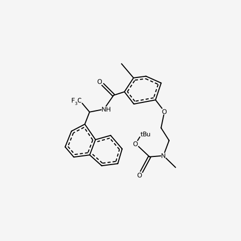 Cc1ccc(OCCN(C)C(=O)OC(C)(C)C)cc1C(=O)NC(c1cccc2ccccc12)C(F)(F)F